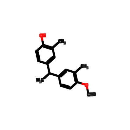 Cc1cc(C(C)c2ccc(OC=O)c(C)c2)ccc1O